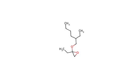 CCCCC(CC)COC1(CC)CO1